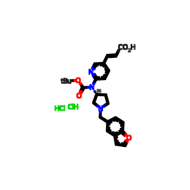 CC(C)(C)OC(=O)N(c1ccc(C=CC(=O)O)cn1)[C@@H]1CCN(Cc2ccc3occc3c2)C1.Cl.Cl